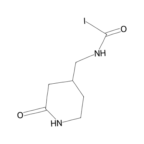 O=C(I)NCC1CCNC(=O)C1